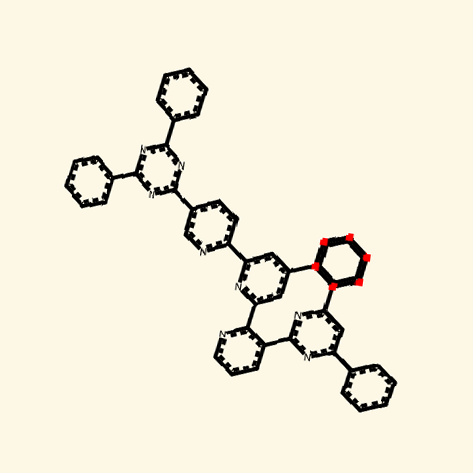 c1ccc(-c2cc(-c3ccc(-c4nc(-c5ccccc5)nc(-c5ccccc5)n4)cn3)nc(-c3ncccc3-c3nc(-c4ccccc4)cc(-c4ccccc4)n3)c2)cc1